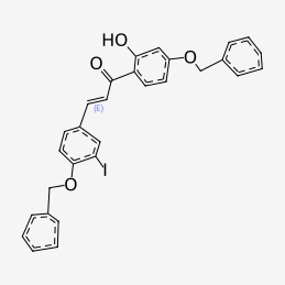 O=C(/C=C/c1ccc(OCc2ccccc2)c(I)c1)c1ccc(OCc2ccccc2)cc1O